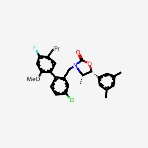 COc1cc(F)c(C(C)C)cc1-c1ccc(Cl)cc1CN1C(=O)O[C@H](c2cc(C)cc(C)c2)[C@@H]1C